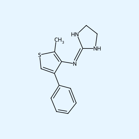 Cc1scc(-c2ccccc2)c1N=C1NCCN1